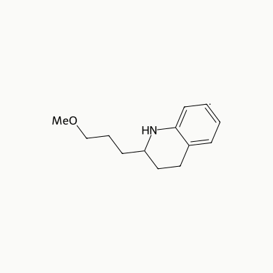 COCCCC1CCc2cc[c]cc2N1